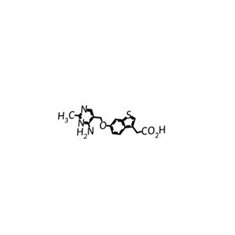 Cc1ncc(COc2ccc3c(CC(=O)O)csc3c2)c(N)n1